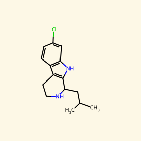 CC(C)CC1NCCc2c1[nH]c1cc(Cl)ccc21